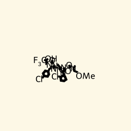 COCCN(C)C(=O)Oc1nc(Cn2nc(-c3ccc(Cl)cc3)n(CC(O)C(F)(F)F)c2=O)nn1-c1ccccc1Cl